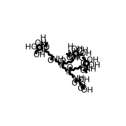 CC(=O)NC1[C@H](OCCCCC(=O)NCCCN(CCCN(CCCNC(=O)C(O)COP(C)(=O)O)C(=O)CCCCO[C@@H]2OC(CO)[C@H](O)[C@H](O)C2NC(C)=O)C(=O)CCCCO[C@@H]2OC(CO)[C@H](O)[C@H](O)C2NC(C)=O)OC(CO)[C@H](O)[C@@H]1O